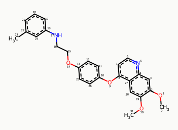 COc1cc2nccc(Oc3ccc(OCCNc4cccc(C)c4)cc3)c2cc1OC